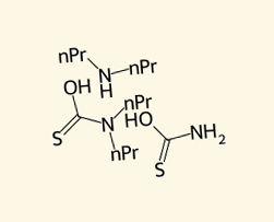 CCCN(CCC)C(O)=S.CCCNCCC.NC(O)=S